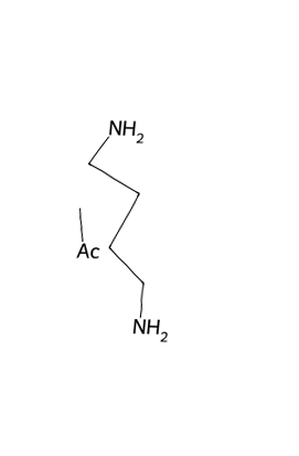 CC(C)=O.NCCCCN